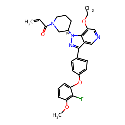 C=CC(=O)N1CCC[C@@H](n2nc(-c3ccc(Oc4cccc(OC)c4F)cc3)c3cncc(OCC)c32)C1